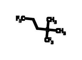 CS(C)(CCC(F)(F)F)C(F)(F)F